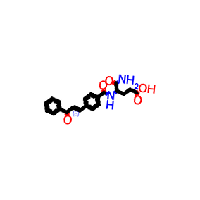 NC(=O)C(CCC(=O)O)NC(=O)c1ccc(/C=C/C(=O)c2ccccc2)cc1